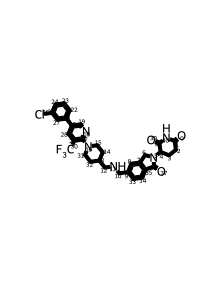 O=C1CCC(N2Cc3cc(CNCC4CCN(c5ncc(-c6cccc(Cl)c6)cc5C(F)(F)F)CC4)ccc3C2=O)C(=O)N1